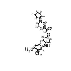 Cc1ccc(NC2CCC(OCC(=O)N3CCCN(c4ccccc4)CC3)CC2)cc1C(F)(F)F